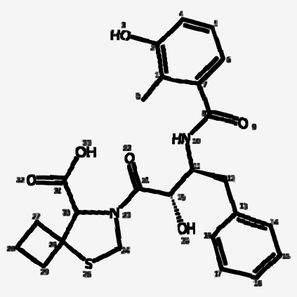 Cc1c(O)cccc1C(=O)N[C@@H](Cc1ccccc1)[C@H](O)C(=O)N1CSC2(CCC2)C1C(=O)O